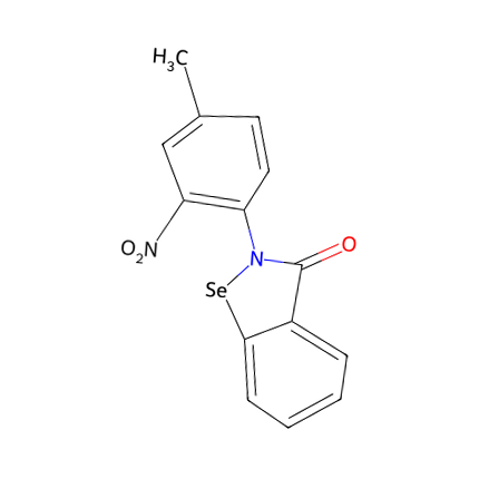 Cc1ccc(-n2[se]c3ccccc3c2=O)c([N+](=O)[O-])c1